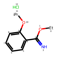 CCOC(=N)c1ccccc1OC(C)C.Cl